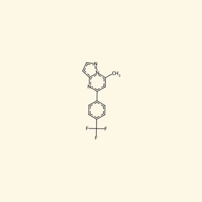 Cc1cc(-c2ccc(C(F)(F)F)cc2)nc2ccnn12